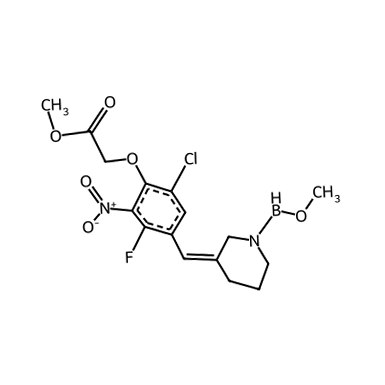 COBN1CCCC(=Cc2cc(Cl)c(OCC(=O)OC)c([N+](=O)[O-])c2F)C1